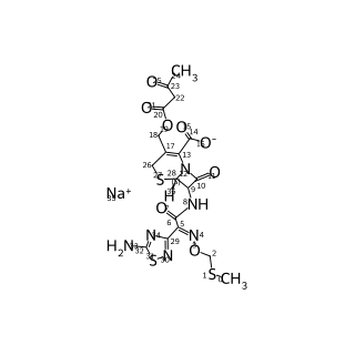 CSCON=C(C(=O)NC1C(=O)N2C(C(=O)[O-])=C(COC(=O)CC(C)=O)CS[C@@H]12)c1nsc(N)n1.[Na+]